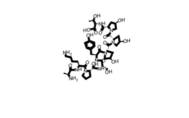 C[C@H](N)C(=O)N[C@@H](CCCCN)C(=O)N1CCC[C@H]1C(=O)N[C@@H](CO)C(=O)N[C@@H](Cc1ccc(O)cc1)C(=O)N1C[C@H](O)C[C@H]1C(=O)N1C[C@H](O)C[C@H]1C(=O)N1C[C@H](O)C[C@H]1C(=O)N[C@H](C(=O)O)[C@@H](C)O